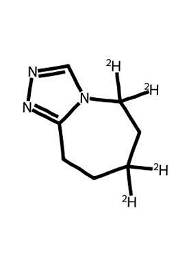 [2H]C1([2H])CCc2nncn2C([2H])([2H])C1